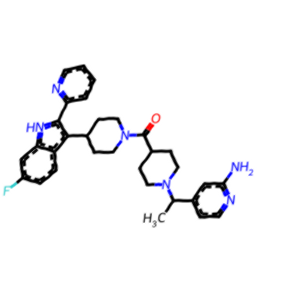 CC(c1ccnc(N)c1)N1CCC(C(=O)N2CCC(c3c(-c4ccccn4)[nH]c4cc(F)ccc34)CC2)CC1